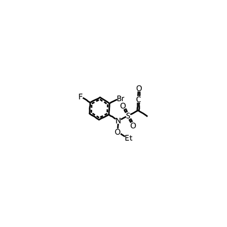 CCON(c1ccc(F)cc1Br)S(=O)(=O)C(C)=C=O